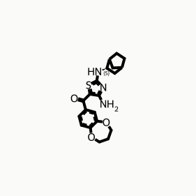 Nc1nc(N[C@H]2CC3CCC2C3)sc1C(=O)c1ccc2c(c1)OCCCO2